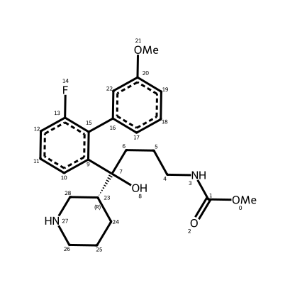 COC(=O)NCCCC(O)(c1cccc(F)c1-c1cccc(OC)c1)[C@@H]1CCCNC1